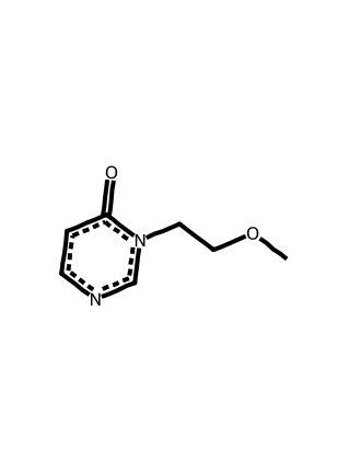 COCCn1cnccc1=O